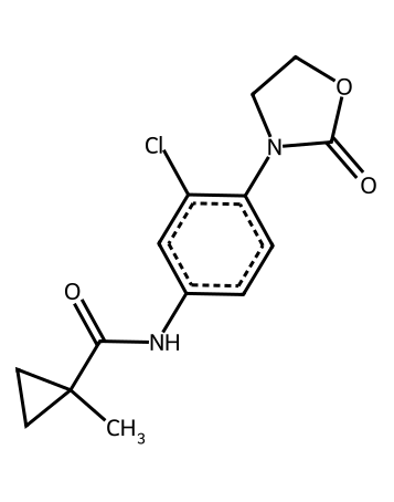 CC1(C(=O)Nc2ccc(N3CCOC3=O)c(Cl)c2)CC1